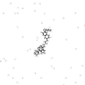 COc1cc2c(cc1C)CC(CCCCCC(=O)N1CCC[C@H]1C(=O)N1CCSC1)CC2